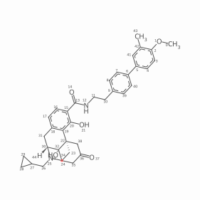 COc1ccc(-c2ccc(CCNC(=O)c3ccc4c(c3O)[C@]35CCN(CC6CC6)[C@H](C4)[C@]3(O)CCC(=O)C5)cc2)cc1C